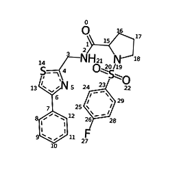 O=C(NCc1nc(-c2ccccc2)cs1)C1CCCN1S(=O)(=O)c1ccc(F)cc1